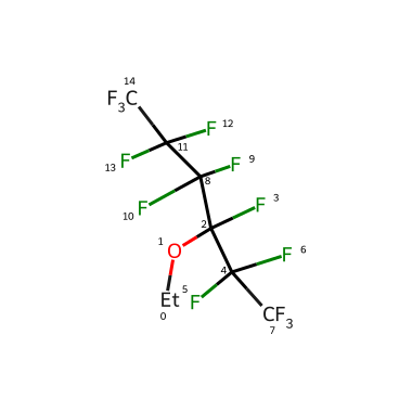 CCOC(F)(C(F)(F)C(F)(F)F)C(F)(F)C(F)(F)C(F)(F)F